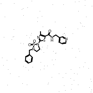 Cc1nc(N2CCN(Cc3ccccc3)S2(=O)=O)sc1C(=O)NCc1cccnc1